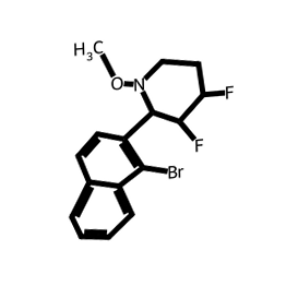 CON1CCC(F)C(F)C1c1ccc2ccccc2c1Br